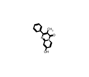 Cc1c(-c2ccccc2)nc2cc(O)ccn2c1=O